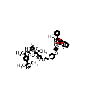 Cc1ncn(C)c1-c1ccc([C@H](C)NC(=O)[C@@H]2C[C@@H](O)CN2C(=O)[C@@H](c2cc(OCCN3CCC(O[C@H]4C[C@H](Oc5cc(N6C7CCC6CN(c6cc(-c8ccccc8O)nnc6N)C7)ccn5)C4)CC3)no2)C(C)C)cc1